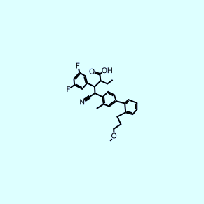 CCC(C(=O)O)C(c1cc(F)cc(F)c1)C(C#N)c1ccc(-c2ccccc2CCCOC)cc1C